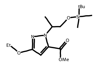 CCOc1cc(C(=O)OC)n(C(C)CO[Si](C)(C)C(C)(C)C)n1